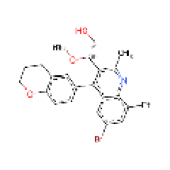 CCc1cc(Br)cc2c(-c3ccc4c(c3)CCCO4)c([C@@H](CO)OC(C)(C)C)c(C)nc12